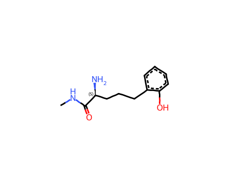 CNC(=O)[C@@H](N)CCCc1ccccc1O